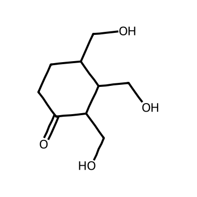 O=C1CCC(CO)C(CO)C1CO